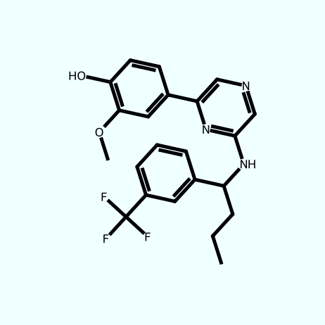 CCCC(Nc1cncc(-c2ccc(O)c(OC)c2)n1)c1cccc(C(F)(F)F)c1